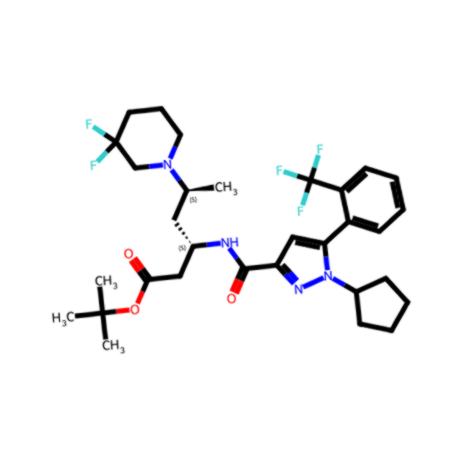 C[C@@H](C[C@@H](CC(=O)OC(C)(C)C)NC(=O)c1cc(-c2ccccc2C(F)(F)F)n(C2CCCC2)n1)N1CCCC(F)(F)C1